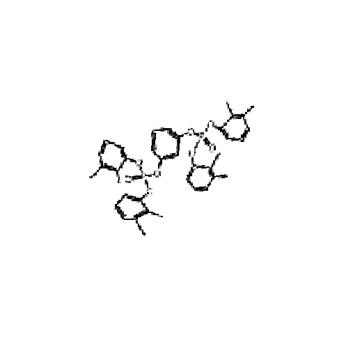 Cc1cccc(OP(=O)(Oc2cccc(OP(=O)(Oc3cccc(C)c3C)Oc3cccc(C)c3C)c2)Oc2cccc(C)c2C)c1C